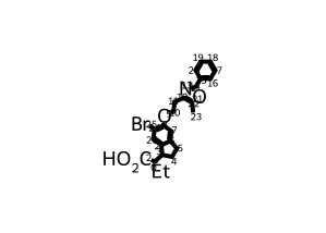 CCC(C(=O)O)C1CCc2cc(OCCc3nc(-c4ccccc4)oc3C)c(Br)cc21